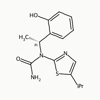 CC(C)c1cnc(N(C(N)=O)[C@H](C)c2ccccc2O)s1